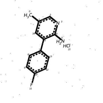 Cc1cnc(N)c(-c2ccc(F)cc2)c1.Cl